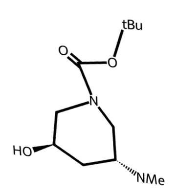 CN[C@@H]1C[C@@H](O)CN(C(=O)OC(C)(C)C)C1